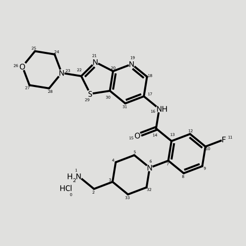 Cl.NCC1CCN(c2ccc(F)cc2C(=O)Nc2cnc3nc(N4CCOCC4)sc3c2)CC1